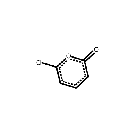 O=c1cccc(Cl)o1